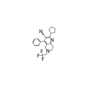 N#Cc1c(C2CCCC2)nc2c(c1-c1ccccc1)CN(CC(F)(F)F)CC2